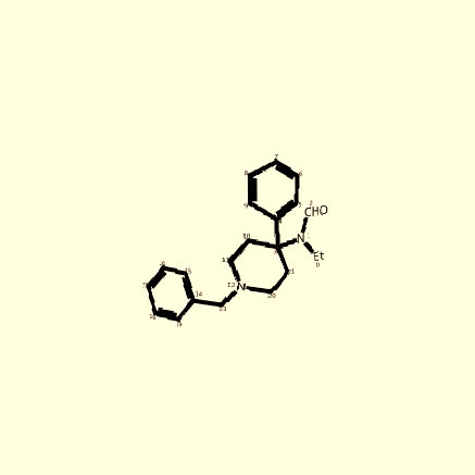 CCN(C=O)C1(c2ccccc2)CCN(Cc2ccccc2)CC1